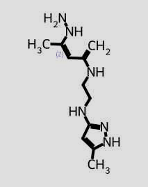 C=C(/C=C(/C)NN)NCCNc1cc(C)[nH]n1